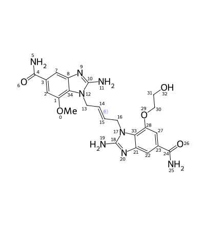 COc1cc(C(N)=O)cc2nc(N)n(C/C=C/Cn3c(N)nc4cc(C(N)=O)cc(OCCO)c43)c12